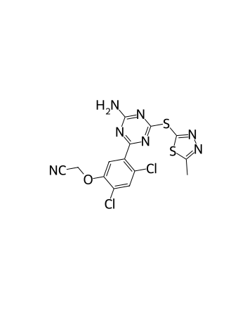 Cc1nnc(Sc2nc(N)nc(-c3cc(OCC#N)c(Cl)cc3Cl)n2)s1